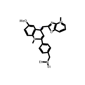 CCN(CC)Cc1ccc(C2=C/C(=C\c3nc4c(ccc[n+]4C)o3)c3cc(OC)ccc3N2C)cc1